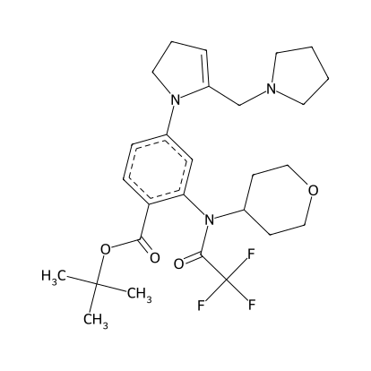 CC(C)(C)OC(=O)c1ccc(N2CCC=C2CN2CCCC2)cc1N(C(=O)C(F)(F)F)C1CCOCC1